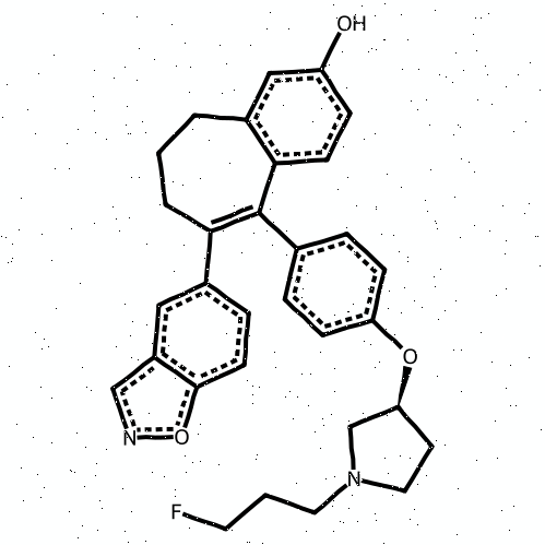 Oc1ccc2c(c1)CCCC(c1ccc3oncc3c1)=C2c1ccc(O[C@H]2CCN(CCCF)C2)cc1